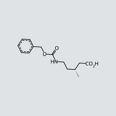 C[C@H](CCNC(=O)OCc1ccccc1)CC(=O)O